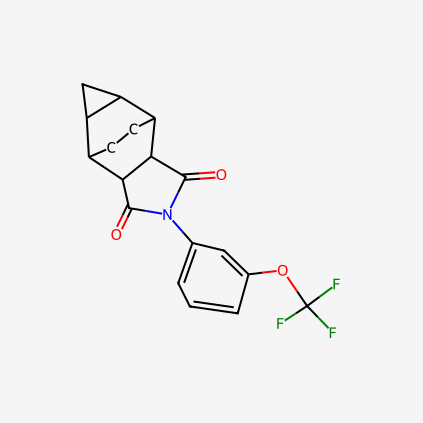 O=C1C2C3CCC(C4CC43)C2C(=O)N1c1cccc(OC(F)(F)F)c1